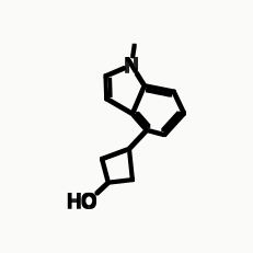 Cn1ccc2c(C3CC(O)C3)cccc21